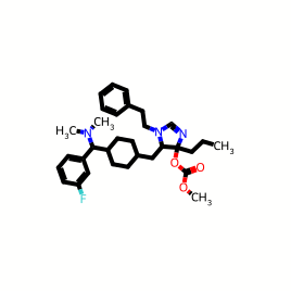 CCCC1(OC(=O)OC)N=CN(CCc2ccccc2)C1CC1CCC(C(c2cccc(F)c2)N(C)C)CC1